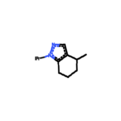 CC1CCCc2c1cnn2C(C)C